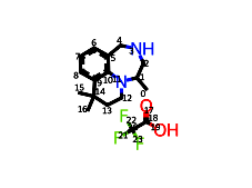 CC1CNCc2cccc3c2N1CCC3(C)C.O=C(O)C(F)(F)F